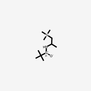 CC(C[Si](C)(C)C)N[S@@+]([O-])C(C)(C)C